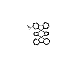 CSc1ccc2c(c1)C1(c3ccccc3-2)c2ccccc2C2(c3ccccc3-c3ccccc32)c2ccccc21